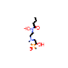 CCCC(=O)N(O)CCN(C)CC(O)P(C)(C)=O